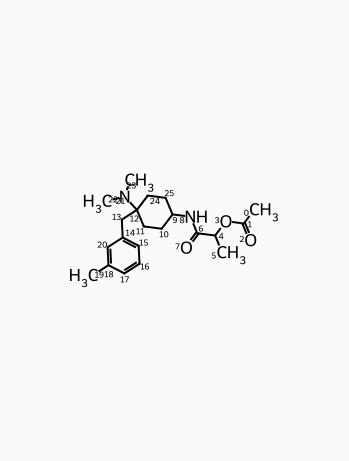 CC(=O)OC(C)C(=O)NC1CCC(Cc2cccc(C)c2)(N(C)C)CC1